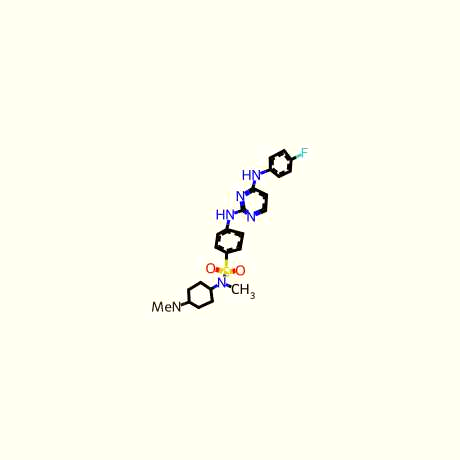 CNC1CCC(N(C)S(=O)(=O)c2ccc(Nc3nccc(Nc4ccc(F)cc4)n3)cc2)CC1